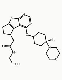 CC[C@]1(N2CCOCC2)CC[C@H](Oc2ccnc3sc4c(c23)[C@@H](CC(=O)NCC(=O)O)CC4)CC1